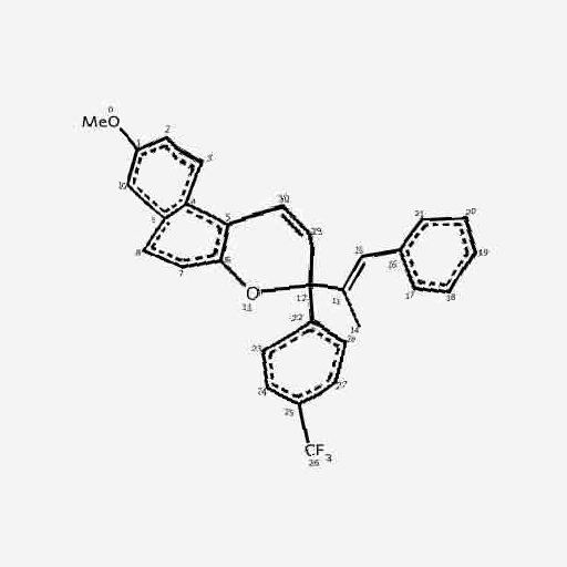 COc1ccc2c3c(ccc2c1)OC(C(C)=Cc1ccccc1)(c1ccc(C(F)(F)F)cc1)C=C3